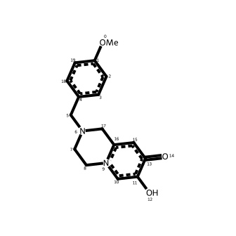 COc1ccc(CN2CCn3cc(O)c(=O)cc3C2)cc1